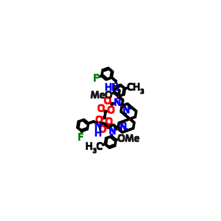 COc1ccc(C)cc1N(C(=O)OC(=O)C(=O)OC(=O)N(c1cc(C)ccc1OC)C1CC2CCCC(C1)N2CCCCNCc1cccc(F)c1)C1CC2CCCC(C1)N2CCCCNCc1cccc(F)c1